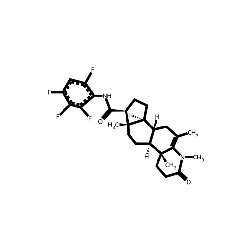 CC1=C2N(C)C(=O)CC[C@]2(C)[C@H]2CC[C@]3(C)[C@@H](C(=O)Nc4c(F)cc(F)c(F)c4F)CC[C@H]3[C@@H]2C1